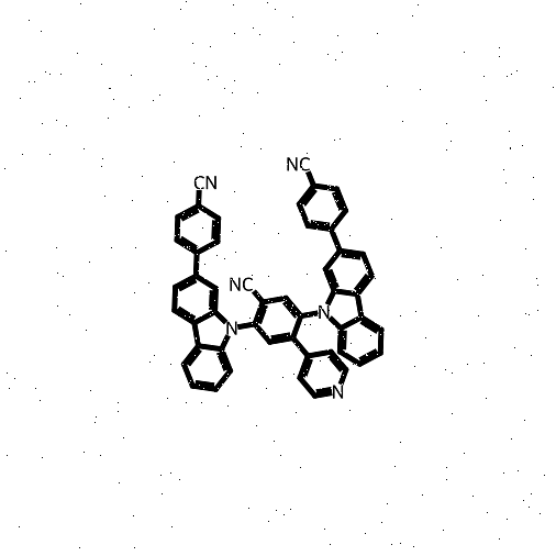 N#Cc1ccc(-c2ccc3c4ccccc4n(-c4cc(-c5ccncc5)c(-n5c6ccccc6c6ccc(-c7ccc(C#N)cc7)cc65)cc4C#N)c3c2)cc1